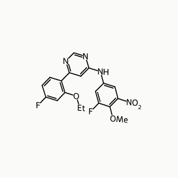 CCOc1cc(F)ccc1-c1cc(Nc2cc(F)c(OC)c([N+](=O)[O-])c2)ncn1